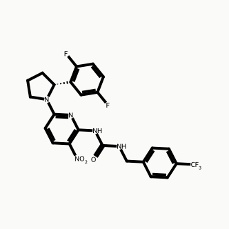 O=C(NCc1ccc(C(F)(F)F)cc1)Nc1nc(N2CCC[C@@H]2c2cc(F)ccc2F)ccc1[N+](=O)[O-]